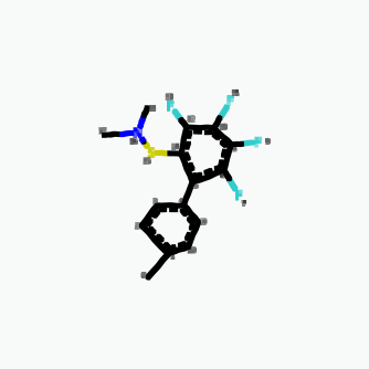 Cc1ccc(-c2c(F)c(F)c(F)c(F)c2SN(C)C)cc1